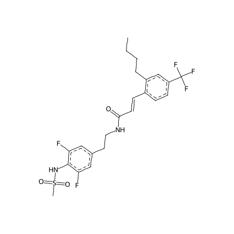 CCCCc1cc(C(F)(F)F)ccc1C=CC(=O)NCCc1cc(F)c(NS(C)(=O)=O)c(F)c1